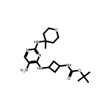 CC1(Nc2ncc(N)c(NC3CC(NC(=O)OC(C)(C)C)C3)n2)CCOCC1